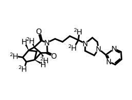 [2H]C1C([2H])[C@@H]2C[C@H]1[C@]1([2H])C(=O)N(CCCC([2H])([2H])N3CCN(c4ncccn4)CC3)C(=O)[C@]21[2H]